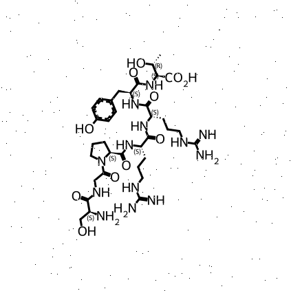 C[C@@H](O)[C@H](NC(=O)[C@H](Cc1ccc(O)cc1)NC(=O)[C@H](CCCNC(=N)N)NC(=O)[C@H](CCCNC(=N)N)NC(=O)[C@@H]1CCCN1C(=O)CNC(=O)[C@@H](N)CO)C(=O)O